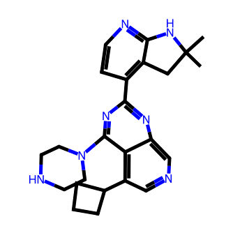 CC1(C)Cc2c(-c3nc(N4CCNCC4)c4c(C5CCC5)cncc4n3)ccnc2N1